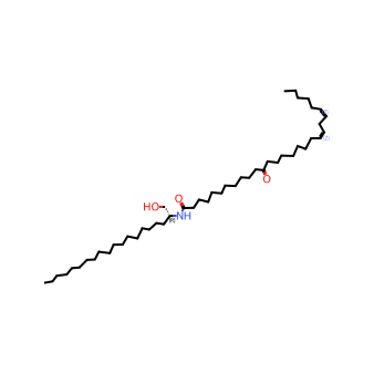 CCCCC/C=C\C/C=C\CCCCCCCC(=O)CCCCCCCCCCC(=O)N[C@@H](CO)CCCCCCCCCCCCCCCCCC